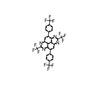 FC(F)(F)c1ccc(-c2cc3nc(C(F)(F)F)nc4c(-c5ccc(C(F)(F)F)cc5)cc5nc(C(F)(F)F)nc2c5c34)cc1